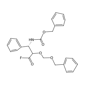 O=C(N[C@@H](c1ccccc1)C(OCOCc1ccccc1)C(=O)F)OCc1ccccc1